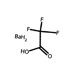 O=C(O)C(F)(F)F.[BaH2]